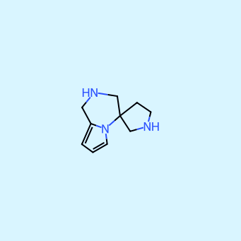 c1cc2n(c1)C1(CCNC1)CNC2